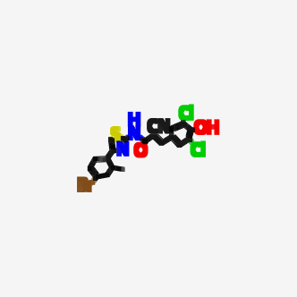 CC1CC(Br)=CC=C1c1csc(NC(=O)/C(C#N)=C/c2cc(Cl)c(O)c(Cl)c2)n1